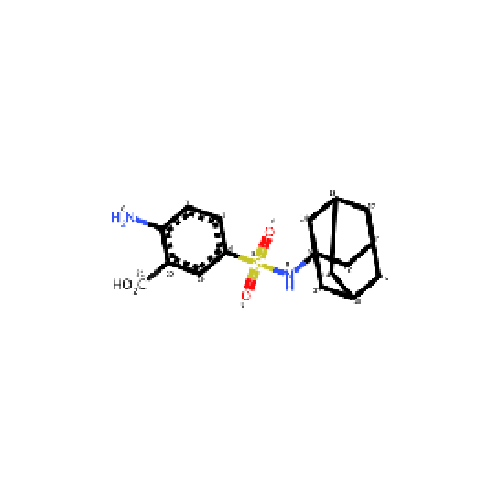 Nc1ccc(S(=O)(=O)NC23CC4CC(CC(C4)C2)C3)cc1C(=O)O